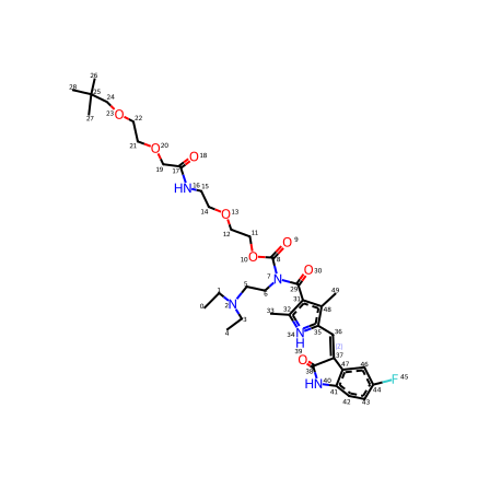 CCN(CC)CCN(C(=O)OCCOCCNC(=O)COCCOCC(C)(C)C)C(=O)c1c(C)[nH]c(/C=C2\C(=O)Nc3ccc(F)cc32)c1C